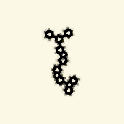 c1ccc(-c2nc(-c3ccccc3)nc(-c3ccc4c(c3)sc3ccc(-c5ccc6sc7ccc(-n8c9ccccc9c9ccccc98)cc7c6c5)cc34)n2)cc1